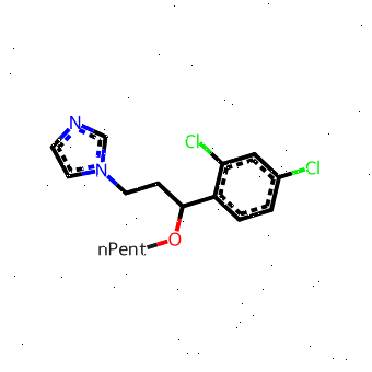 CCCCCOC(CCn1ccnc1)c1ccc(Cl)cc1Cl